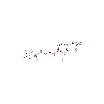 CC(C)(C)OC(=O)NCCOc1ccc(CC(=O)O)cc1F